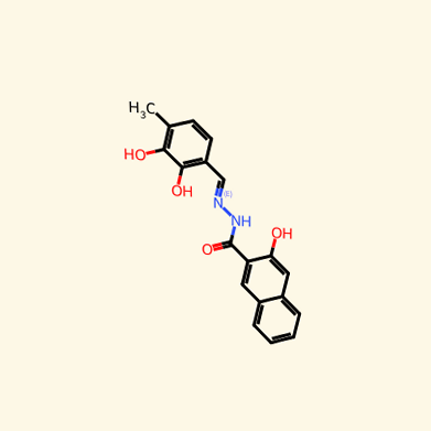 Cc1ccc(/C=N/NC(=O)c2cc3ccccc3cc2O)c(O)c1O